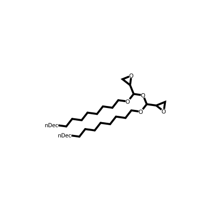 CCCCCCCCCCCCCCCCCCOC(OC(OCCCCCCCCCCCCCCCCCC)C1CO1)C1CO1